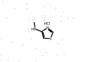 CNc1cscn1.Cl